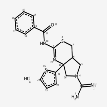 Cl.N=C(N)N1CC2CSC(NC(=O)c3ccccc3)=NC2(c2cccs2)C1